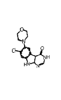 O=C1NC=NC2Nc3cc(Cl)c(N4CCOCC4)cc3C12